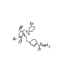 CCc1cccc(OCc2c(Br)cc(Br)c(=O)n2CCc2ccc(C(=O)ON)cc2)c1